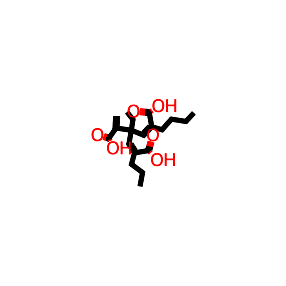 C=C(C(=O)O)C(C=C(CCC)C(=O)O)(C=C(CCCC)C(=O)O)CC